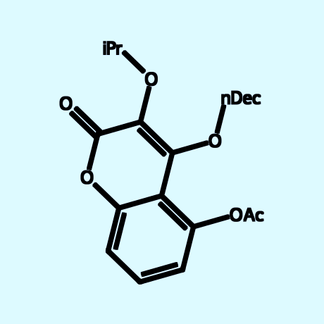 CCCCCCCCCCOc1c(OC(C)C)c(=O)oc2cccc(OC(C)=O)c12